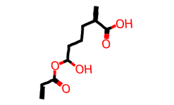 C=CC(=O)OC(O)CCCC(=C)C(=O)O